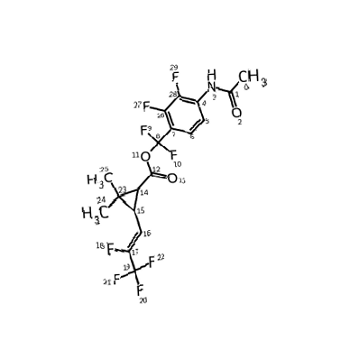 CC(=O)Nc1ccc(C(F)(F)OC(=O)C2C(C=C(F)C(F)(F)F)C2(C)C)c(F)c1F